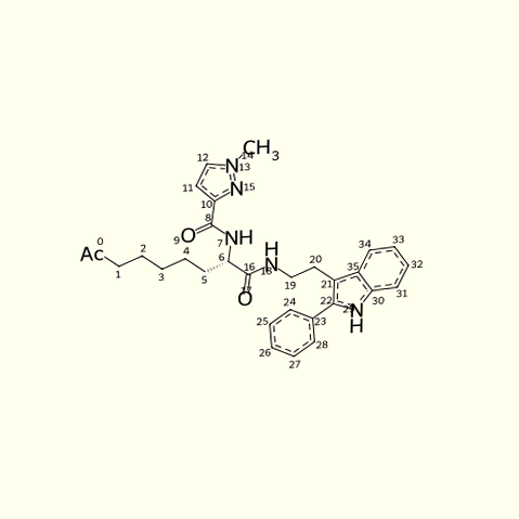 CC(=O)CCCCC[C@H](NC(=O)c1ccn(C)n1)C(=O)NCCc1c(-c2ccccc2)[nH]c2ccccc12